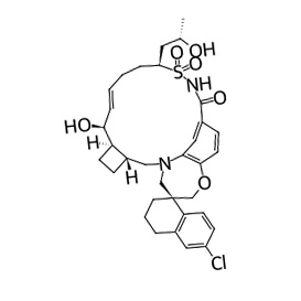 C[C@H](O)C[C@@H]1CC/C=C/[C@H](O)[C@@H]2CC[C@H]2CN2C[C@@]3(CCCc4cc(Cl)ccc43)COc3ccc(cc32)C(=O)NS1(=O)=O